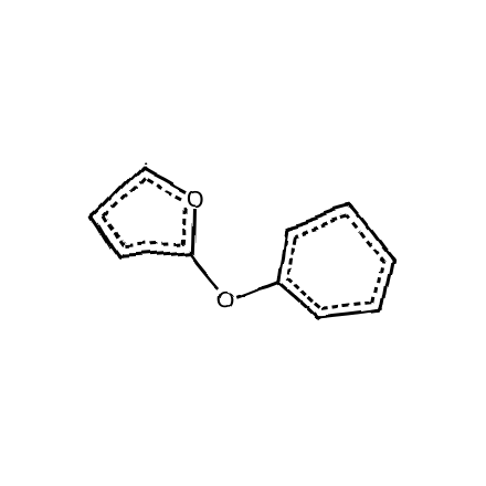 [c]1ccc(Oc2ccccc2)o1